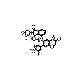 COc1ncc(-c2cc3c(cc2Nc2cccc4c2C(=O)N(C2CCC(=O)NC2=O)C4=O)N(C)C(=O)CO3)cc1F